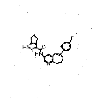 O=C(Nc1cnc2c(c1)C=C(c1ccc(F)cc1)CC=C2)c1n[nH]c2c1CCC2